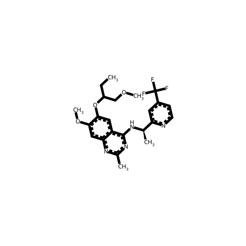 CCC(COC)Oc1cc2c(N[C@H](C)c3cc(C(F)(F)F)ccn3)nc(C)nc2cc1OC